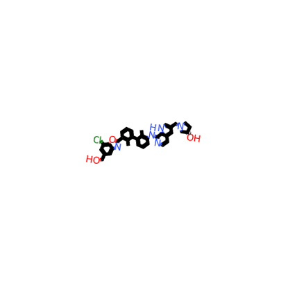 Cc1c(Nc2nccc3cc(CN4CC[C@H](O)C4)cnc23)cccc1-c1cccc(-c2nc3cc(CO)cc(Cl)c3o2)c1C